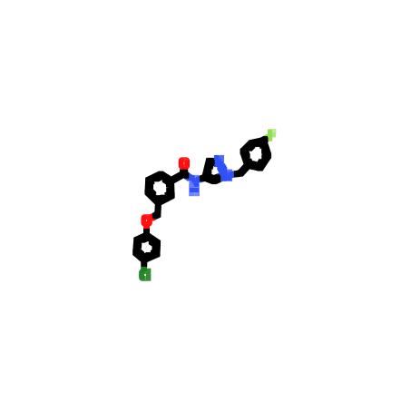 O=C(Nc1cnn(Cc2ccc(F)cc2)c1)c1cccc(COc2ccc(Cl)cc2)c1